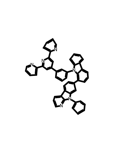 c1ccc(-n2c3cc(-c4cccc5c6ccccc6n(-c6cccc(-c7cc(-c8ccccn8)nc(-c8ccccn8)c7)c6)c45)ccc3c3cccnc32)cc1